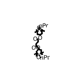 CCCON1C(C)(C)CC(OC(=O)CCC(=O)OC2CC(C)(C)N(OCCC)C(C)(C)C2)CC1(C)C